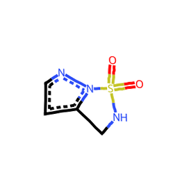 O=S1(=O)NCc2ccnn21